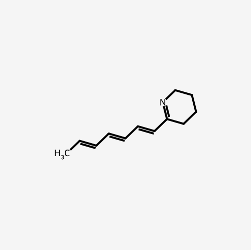 C/C=C/C=C/C=C/C1=NCCCC1